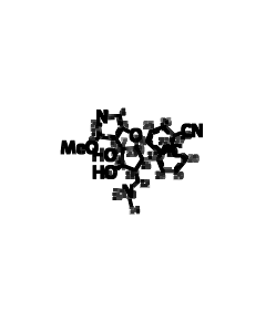 COc1cncc2c1[C@]1(O)[C@H](O)[C@H](CN(C)C)C(c3ccccc3)[C@]1(c1ccc(C#N)cc1)O2